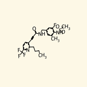 CCCCc1nc(C(F)(F)F)ccc1C#CC(=O)NCc1cc(C)c(NS(C)(=O)=O)c(F)c1